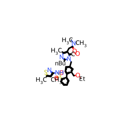 CCCCC1=NC(C)=C(CC(=O)N(C)C)C(=C=O)N1Cc1ccc(-c2ccccc2S(=O)(=O)Nc2nsc(C)c2C)c(COCC)c1